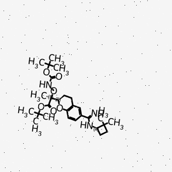 CC(C)(C)OC(=O)NO[C@](C)(C(=O)OC(C)(C)C)[C@H]1CCc2cc(C(=N)N[C@@H]3CCC3(C)C)ccc2O1